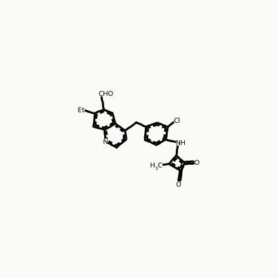 CCc1cc2nccc(Cc3ccc(Nc4c(C)c(=O)c4=O)c(Cl)c3)c2cc1C=O